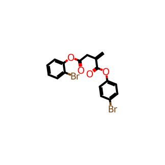 C=C(CC(=O)Oc1ccccc1Br)C(=O)Oc1ccc(Br)cc1